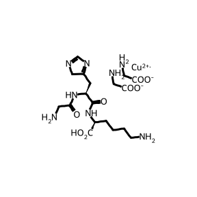 NCC(=O)[O-].NCC(=O)[O-].NCCCC[C@H](NC(=O)[C@H](CC1=NC=NC1)NC(=O)CN)C(=O)O.[Cu+2]